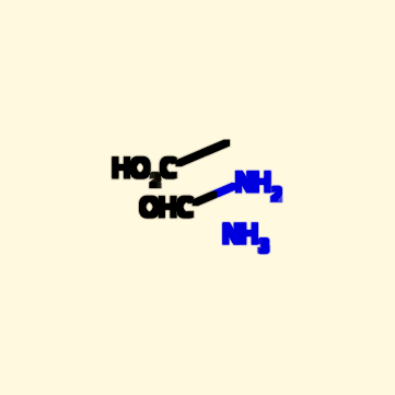 CC(=O)O.N.NC=O